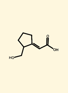 O=C(O)C=C1CCCC1CO